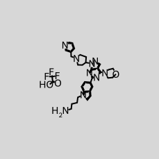 NCCCCn1ccc2cc(-c3nc(N4CCOCC4)c4cnn(C5CCN(Cc6cccnc6)CC5)c4n3)ccc21.O=C(O)C(F)(F)F